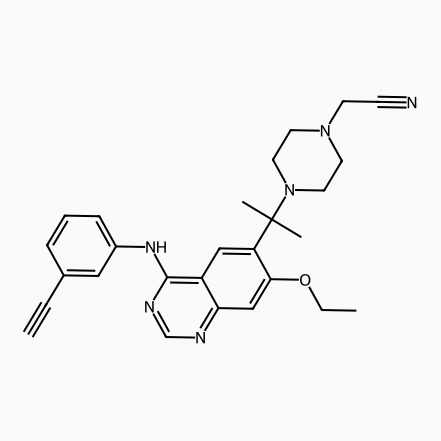 C#Cc1cccc(Nc2ncnc3cc(OCC)c(C(C)(C)N4CCN(CC#N)CC4)cc23)c1